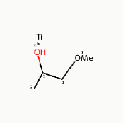 COCC(C)O.[Ti]